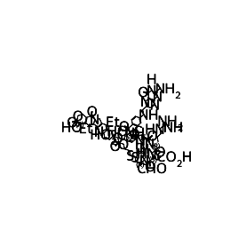 CCc1c2c(nc3ccc(OC(=O)OCCSSC[C@@H](C=O)NC(=O)[C@H](CC(=O)O)NC(=O)[C@@H](CCCNC(=N)N)NC(=O)[C@H](CC(=O)O)NC(=O)CC[C@H](NC(=O)c4ccc(NCc5cnc6nc(N)[nH]c(=O)c6n5)cc4)C(=O)O)cc13)-c1cc3c(c(=O)n1C2)COC(=O)[C@@]3(O)CC